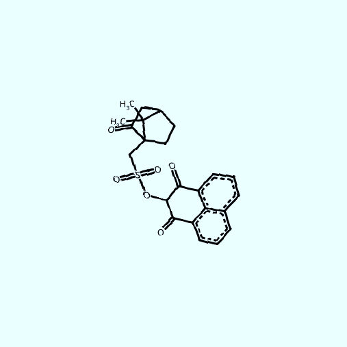 CC1(C)C2CCC1(CS(=O)(=O)OC1C(=O)c3cccc4cccc(c34)C1=O)C(=O)C2